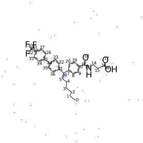 CCCCC/C=C(\c1ccc(C(=O)NCCC(=O)O)cc1)c1ccc(-c2ccc(C(F)(F)F)cc2)cc1